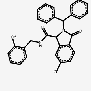 O=C(NCc1ccccc1O)C1c2cc(Cl)ccc2C(=O)N1C(c1ccccc1)c1ccccc1